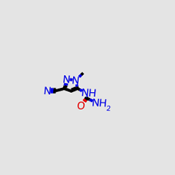 Cn1nc(C#N)cc1NC(N)=O